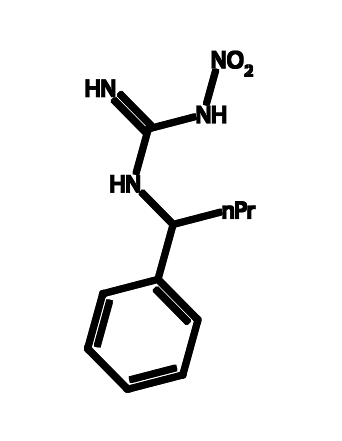 CCCC(NC(=N)N[N+](=O)[O-])c1ccccc1